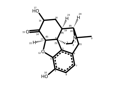 CN1CC[C@]23c4c5ccc(O)c4O[C@H]2C(=O)C(O)C[C@H]3[C@H]1C5